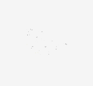 CC(=O)O[C@@H]1CS[C@@H](S)[C@@](OC(C)=O)(c2cccc3cc(C#N)ccc23)[C@H]1OC(C)=O